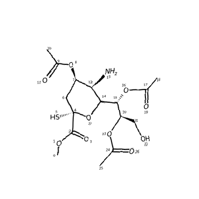 COC(=O)[C@@]1(S)C[C@@H](OC(C)=O)[C@@H](N)C([C@H](OC(C)=O)[C@@H](CO)OC(C)=O)O1